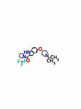 CC(C)N1CCC(Oc2ccc3[nH]c(C(=O)N4CCC[C@H]4C(F)(F)F)cc3c2)CC1